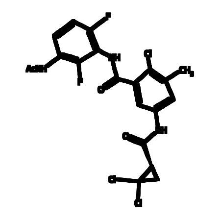 CC(=O)Nc1ccc(F)c(NC(=O)c2cc(NC(=O)[C@H]3CC3(Cl)Cl)cc(C)c2Cl)c1F